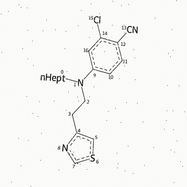 CCCCCCCN(CCc1cs[c]n1)c1ccc(C#N)c(Cl)c1